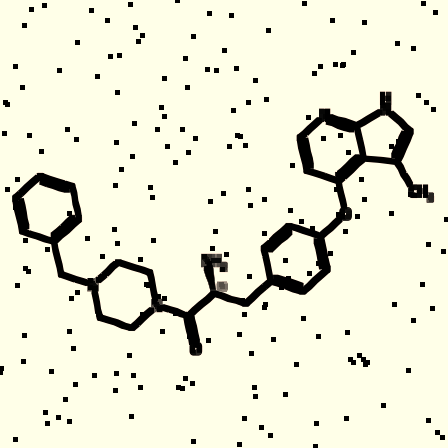 Cc1c[nH]c2nccc(Oc3ccc(C[C@H](N)C(=O)N4CCN(Cc5ccccc5)CC4)cc3)c12